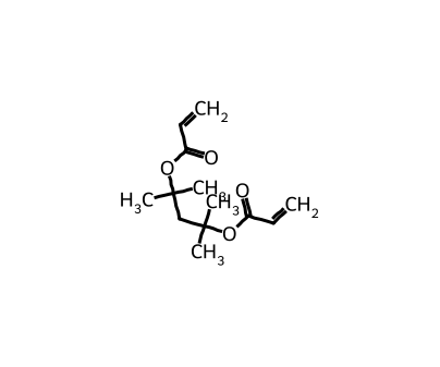 C=CC(=O)OC(C)(C)CC(C)(C)OC(=O)C=C